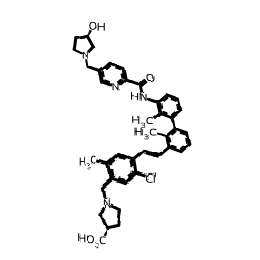 Cc1cc(/C=C/c2cccc(-c3cccc(NC(=O)c4ccc(CN5CC[C@@H](O)C5)cn4)c3C)c2C)c(Cl)cc1CN1CC[C@@H](C(=O)O)C1